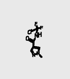 Cn1cc(C(=O)NC(F)(F)Cl)cn1